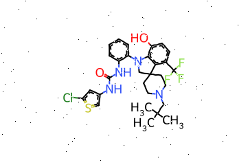 CC(C)(C)CN1CCC2(CC1)CN(c1ccccc1NC(=O)Nc1csc(Cl)c1)c1c(O)ccc(C(F)(F)F)c12